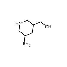 BC1CNCC(CO)C1